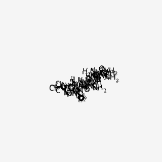 C#[N+]c1cc(C(Cl)(Cl)Cl)cnc1N(CCC(C)C)C(O)C(=O)NC(C(=O)NC(NC(=N)N)C(=O)NC(NC(=N)N)C(=O)NC(NC(=N)N)C(=O)NC(NC(=N)N)C(N)=O)c1ccccc1